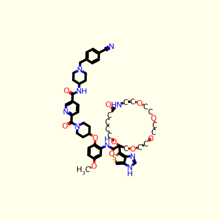 COc1ccc(OC2CCN(C(=O)c3ccc(C(=O)NC4CCN(Cc5ccc(C#N)cc5)CC4)cn3)CC2)c(NC(=O)C2(c3scc4[nH]cnc34)COCCOCCOCCOCCNC(=O)CCCCO2)c1